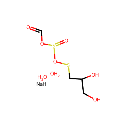 O.O.O=COS(=O)OSCC(O)CO.[NaH]